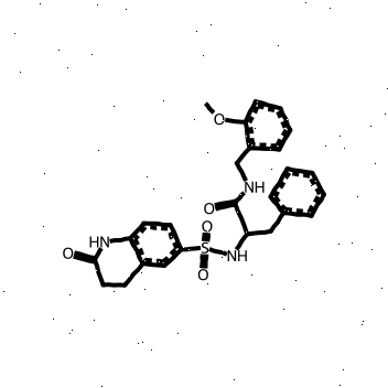 COc1ccccc1CNC(=O)C(Cc1ccccc1)NS(=O)(=O)c1ccc2c(c1)CCC(=O)N2